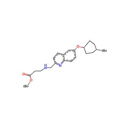 CC(C)(C)OC(=O)CCNCc1ccc2cc(OC3CCC(C(C)(C)C)CC3)ccc2n1